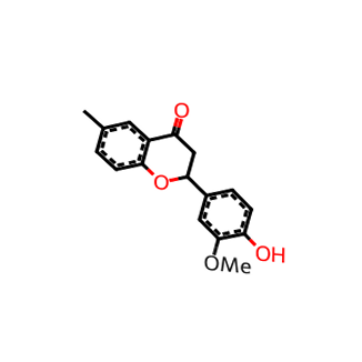 COc1cc(C2CC(=O)c3cc(C)ccc3O2)ccc1O